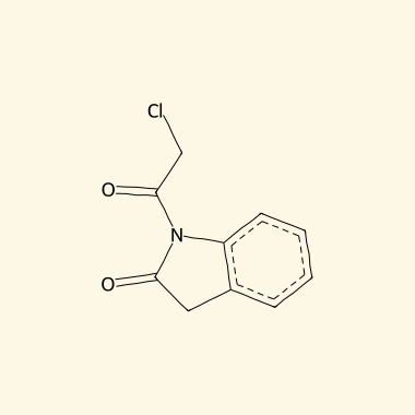 O=C(CCl)N1C(=O)Cc2ccccc21